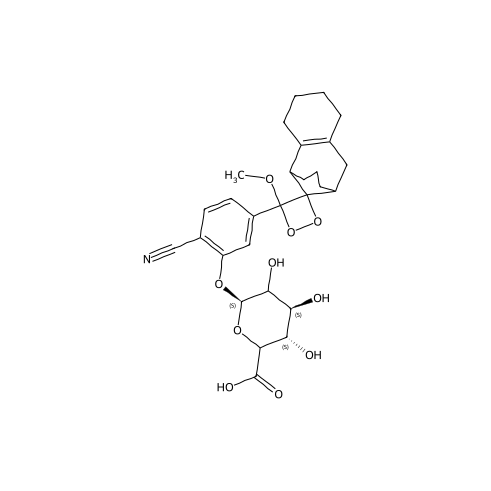 COC1(c2ccc(C#N)c(O[C@@H]3OC(C(=O)O)[C@@H](O)[C@H](O)C3O)c2)OOC12C1CCCC2C2=C(CCCC2)C1